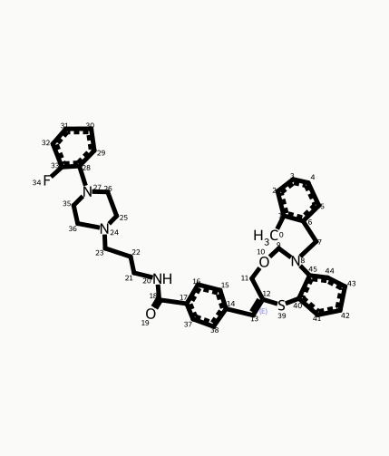 Cc1ccccc1CN1COC/C(=C\c2ccc(C(=O)NCCCN3CCN(c4ccccc4F)CC3)cc2)Sc2ccccc21